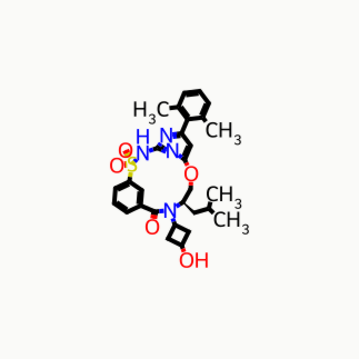 Cc1cccc(C)c1-c1cc2nc(n1)NS(=O)(=O)c1cccc(c1)C(=O)N(C1CC(O)C1)[C@H](CC(C)C)CO2